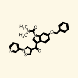 CN(C)C(=O)n1cc(C(=O)C2CSN(c3cccnc3)C2)c2ccc(OCc3ccccc3)cc21